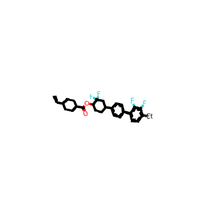 C=CC1CCC(C(=O)OC2CCC(c3ccc(-c4ccc(CC)c(F)c4F)cc3)CC2(F)F)CC1